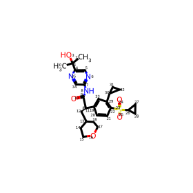 CC(C)(O)c1cnc(NC(=O)[C@H](CC2CCOCC2)c2ccc(S(=O)(=O)C3CC3)c(C3CC3)c2)cn1